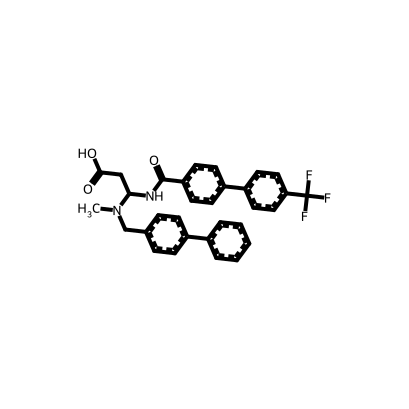 CN(Cc1ccc(-c2ccccc2)cc1)C(CC(=O)O)NC(=O)c1ccc(-c2ccc(C(F)(F)F)cc2)cc1